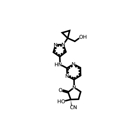 N#C[C@@]1(O)CCN(c2ccnc(Nc3cnn(C4(CO)CC4)c3)n2)C1=O